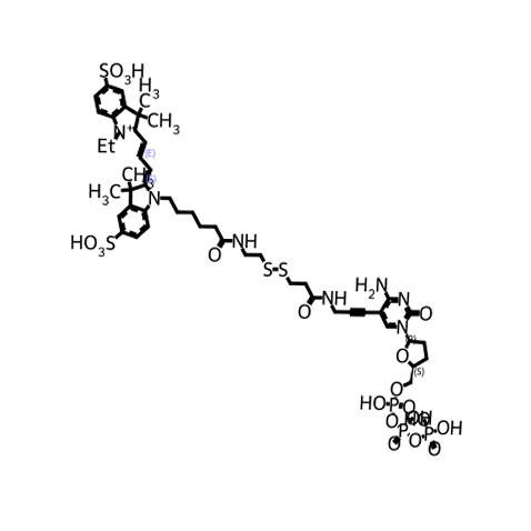 CC[N+]1=C(/C=C/C=C2/N(CCCCCC(=O)NCCSSCCC(=O)NCC#Cc3cn([C@H]4CC[C@@H](COP(=O)(O)OP(=O)(O)OP(=O)(O)O)O4)c(=O)nc3N)c3ccc(S(=O)(=O)O)cc3C2(C)C)C(C)(C)c2cc(S(=O)(=O)O)ccc21